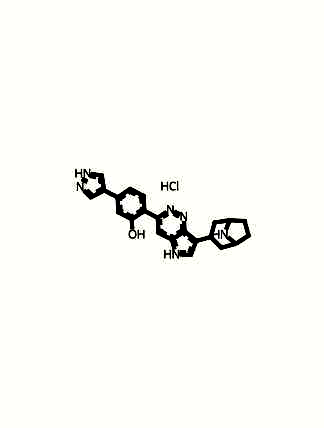 Cl.Oc1cc(-c2cn[nH]c2)ccc1-c1cc2[nH]cc(C3CC4CCC(C3)N4)c2nn1